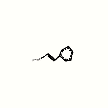 CCCCCC=Cc1cc[c]cc1